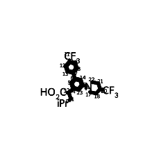 CC(C)CC(C(=O)O)c1cc(-c2ccc(C(F)(F)F)cc2)cc(N2CCC(C(F)(F)F)CC2)c1